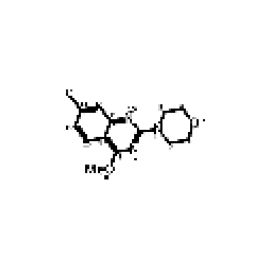 COc1nc(N2CCOCC2)nc2cc(C)ccc12